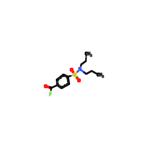 CCCN(CCC)S(=O)(=O)c1ccc(C(=O)F)cc1